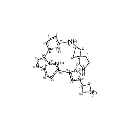 c1cc(NC2CC3(CCNC3)C2)nc(-c2cnc3ccc(-c4cnn(C5CNC5)c4)nn23)c1